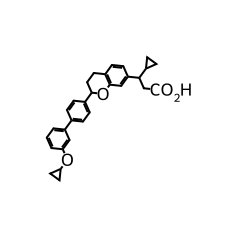 O=C(O)CC(c1ccc2c(c1)OC(c1ccc(-c3cccc(OC4CC4)c3)cc1)CC2)C1CC1